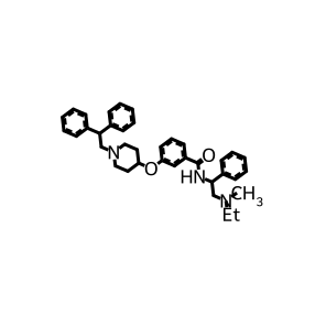 CCN(C)CC(NC(=O)c1cccc(OC2CCN(CC(c3ccccc3)c3ccccc3)CC2)c1)c1ccccc1